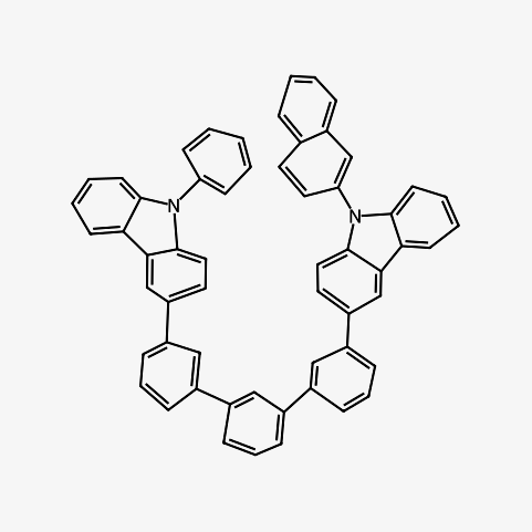 c1ccc(-n2c3ccccc3c3cc(-c4cccc(-c5cccc(-c6cccc(-c7ccc8c(c7)c7ccccc7n8-c7ccc8ccccc8c7)c6)c5)c4)ccc32)cc1